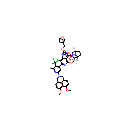 COc1ccc(CN(Cc2ccc(OC)cc2)c2cc(-c3nc4c5c(nc(OCC67COC(C6)C7)nc5c3F)N3C[C@H]5CC[C@@H]([C@H]3[C@H](C)O4)N5C(=O)OC(C)(C)C)c(C(F)(F)F)c(C)n2)cc1